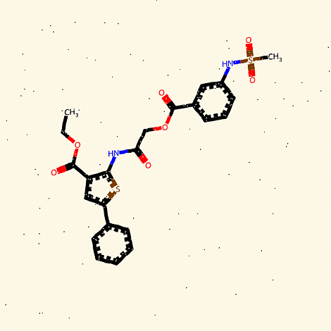 CCOC(=O)c1cc(-c2ccccc2)sc1NC(=O)COC(=O)c1cccc(NS(C)(=O)=O)c1